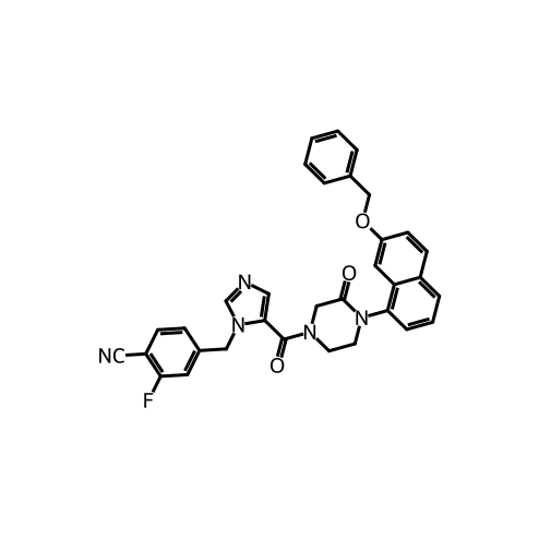 N#Cc1ccc(Cn2cncc2C(=O)N2CCN(c3cccc4ccc(OCc5ccccc5)cc34)C(=O)C2)cc1F